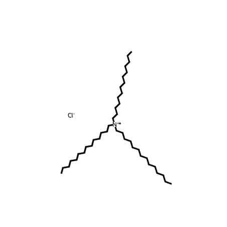 CCCCCCCCCCCCCC[N+](C)(CCCCCCCCCCCCCC)CCCCCCCCCCCCCC.[Cl-]